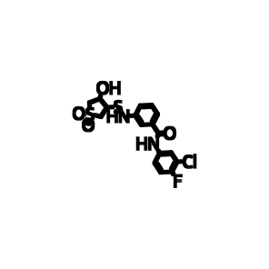 O=C(Nc1ccc(F)c(Cl)c1)c1cccc(NSC2CS(=O)(=O)CC2O)c1